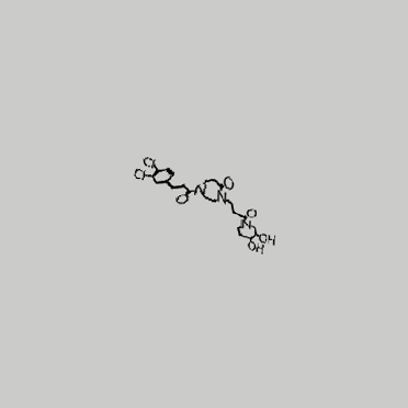 O=C(/C=C/c1ccc(Cl)c(Cl)c1)N1CCC(=O)N(CCC(=O)N2CCC(O)C(O)C2)CC1